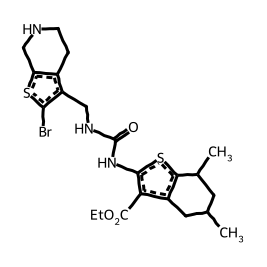 CCOC(=O)c1c(NC(=O)NCc2c(Br)sc3c2CCNC3)sc2c1CC(C)CC2C